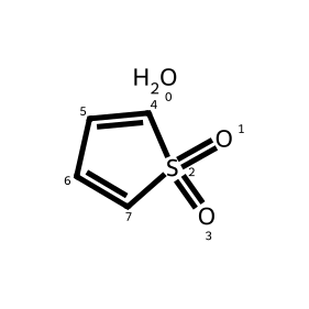 O.O=S1(=O)C=CC=C1